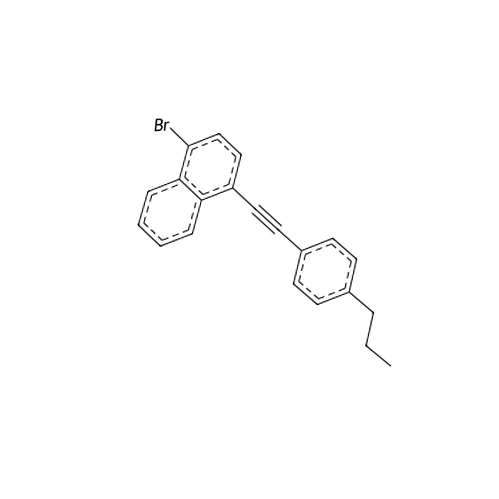 CCCc1ccc(C#Cc2ccc(Br)c3ccccc23)cc1